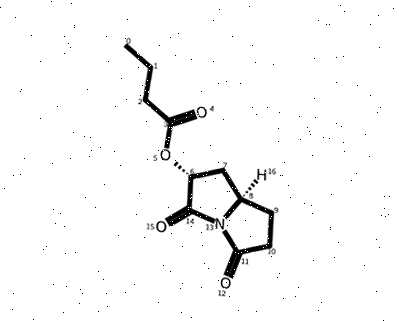 CCCC(=O)O[C@@H]1C[C@H]2CCC(=O)N2C1=O